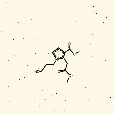 COC(=O)Cc1c(C(=O)OC)ccn1CCCO